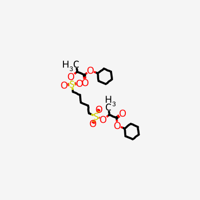 CC(OS(=O)(=O)CCCCCS(=O)(=O)OC(C)C(=O)OC1CCCCC1)C(=O)OC1CCCCC1